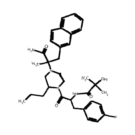 CCCC1CN(C(C)(Cc2ccc3ccccc3c2)C(N)=O)CCN1C(=O)C(Cc1ccc(F)cc1)NC(=O)C(C)(C)O